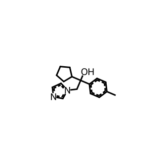 Cc1ccc(C(O)(Cn2ccnc2)C2CCCC2)cc1